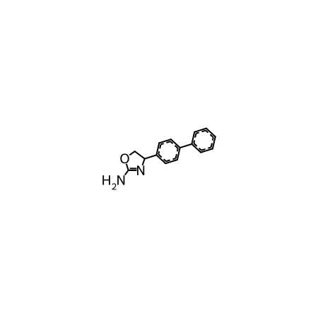 NC1=NC(c2ccc(-c3ccccc3)cc2)CO1